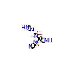 O=C(CCN1CCNCC1)Nc1sc2c(c1-c1nc3cnccc3s1)CCNC2